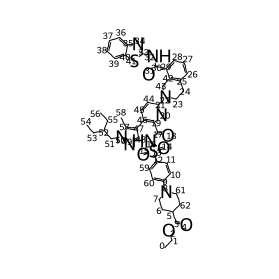 CCOC(=O)C1CCN(c2ccc(S(=O)(=O)NC(=O)c3nc(N4CCc5cccc(C(=O)Nc6nc7ccccc7s6)c5C4)ccc3-c3cnn(CC(CC)CC)c3C)cc2)CC1